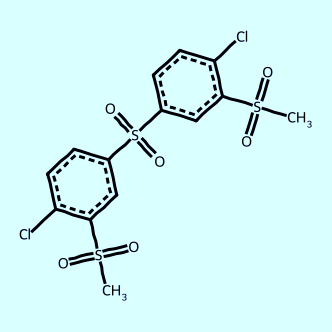 CS(=O)(=O)c1cc(S(=O)(=O)c2ccc(Cl)c(S(C)(=O)=O)c2)ccc1Cl